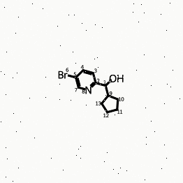 OC(c1ccc(Br)cn1)C1CCCC1